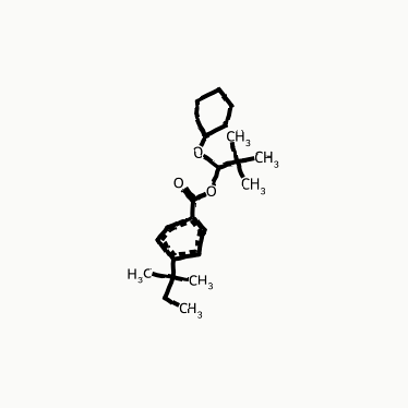 CCC(C)(C)c1ccc(C(=O)OC(OC2CCCCC2)C(C)(C)C)cc1